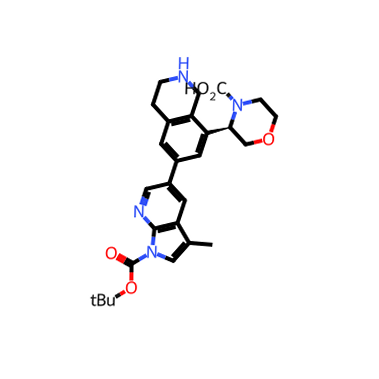 Cc1cn(C(=O)OC(C)(C)C)c2ncc(-c3cc4c(c([C@@H]5COCCN5C(=O)O)c3)CNCC4)cc12